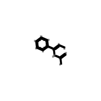 C=C(C)S/C(=C\C)c1ccccc1